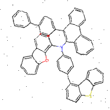 c1ccc(-c2ccc(-c3c(N(c4ccc(-c5cccc6sc7ccccc7c56)cc4)c4cccc5c4oc4ccccc45)c4ccccc4c4ccccc34)cc2)cc1